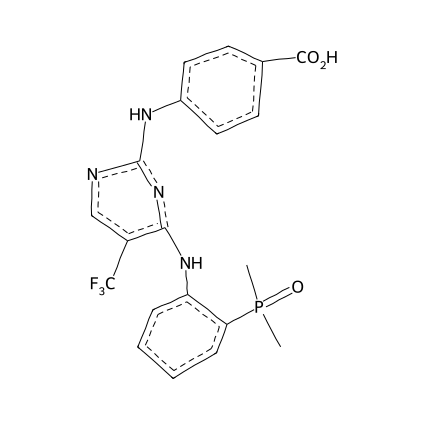 CP(C)(=O)c1ccccc1Nc1nc(Nc2ccc(C(=O)O)cc2)ncc1C(F)(F)F